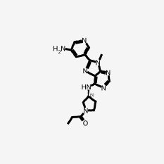 CCC(=O)N1CC[C@H](Nc2ncnc3c2nc(-c2cncc(N)c2)n3C)C1